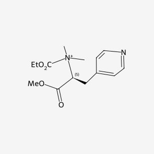 CCOC(=O)[N+](C)(C)[C@@H](Cc1ccncc1)C(=O)OC